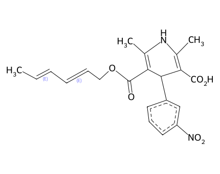 C/C=C/C=C/COC(=O)C1=C(C)NC(C)=C(C(=O)O)C1c1cccc([N+](=O)[O-])c1